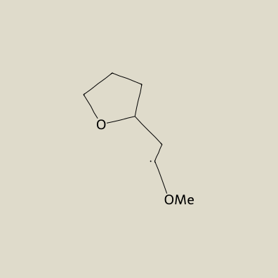 CO[CH]CC1CCCO1